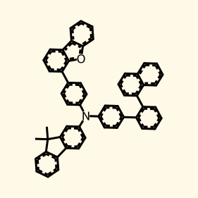 CC1(C)c2ccccc2-c2ccc(N(c3ccc(-c4ccccc4-c4cccc5ccccc45)cc3)c3ccc(-c4cccc5c4oc4ccccc45)cc3)cc21